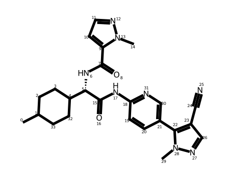 CC1CCC([C@H](NC(=O)c2ccnn2C)C(=O)Nc2ccc(-c3c(C#N)cnn3C)cn2)CC1